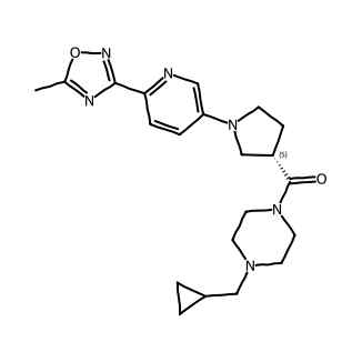 Cc1nc(-c2ccc(N3CC[C@H](C(=O)N4CCN(CC5CC5)CC4)C3)cn2)no1